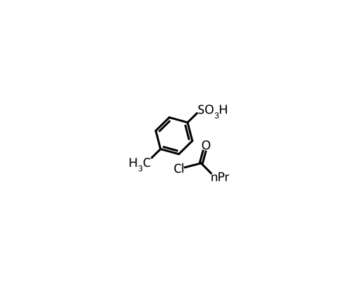 CCCC(=O)Cl.Cc1ccc(S(=O)(=O)O)cc1